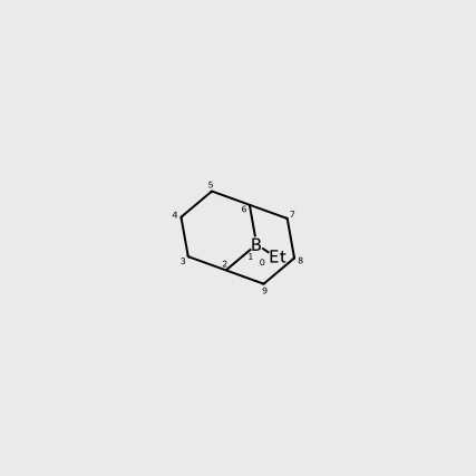 CCB1C2CCCC1CCC2